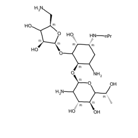 CCCN[C@@H]1CC(N)[C@@H](O[C@H]2OC([C@@H](C)O)[C@@H](O)[C@H](O)C2N)C(O[C@@H]2O[C@H](CN)C(O)[C@@H]2O)[C@@H]1O